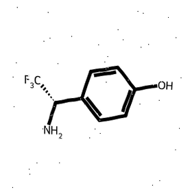 N[C@@H](c1ccc(O)cc1)C(F)(F)F